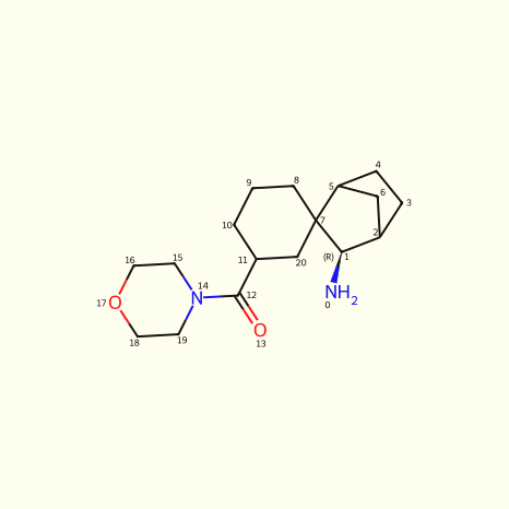 N[C@@H]1C2CCC(C2)C12CCCC(C(=O)N1CCOCC1)C2